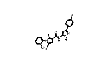 Cc1cc(C(=O)Nc2cc(-c3ccc(F)cc3)n[nH]2)c(C)n1-c1ccccc1C(F)(F)F